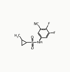 CC1CC1S(=O)(=O)Nc1cc(F)c(F)c(C#N)c1